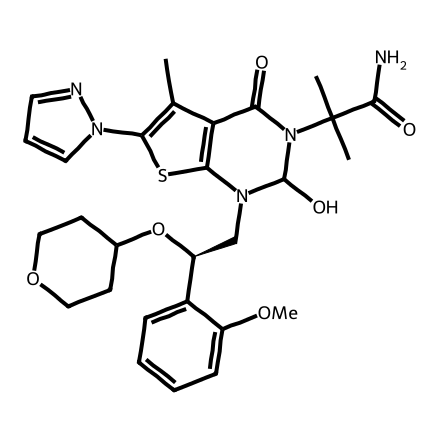 COc1ccccc1[C@H](CN1c2sc(-n3cccn3)c(C)c2C(=O)N(C(C)(C)C(N)=O)C1O)OC1CCOCC1